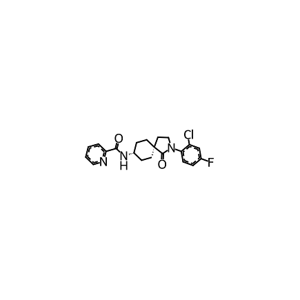 O=C(N[C@H]1CC[C@@]2(CCN(c3ccc(F)cc3Cl)C2=O)CC1)c1ccccn1